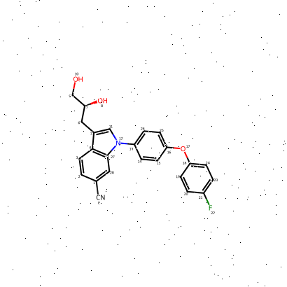 N#Cc1ccc2c(C[C@H](O)CO)cn(-c3ccc(Oc4ccc(F)cc4)cc3)c2c1